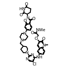 CNC(=O)COc1cc2cc(Nc3nc(N4CCC(CN5CCN(c6ccc7c(=O)n(C8CCC(=O)NC8=O)oc7c6)CC5)CC4)ncc3Cl)ccc2n(C)c1=O